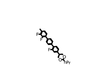 CCCC1OCC(c2ccc(-c3ccc(-c4ccc(C)c(F)c4F)cc3)c(F)c2)CO1